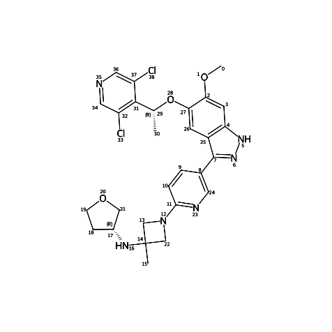 COc1cc2[nH]nc(-c3ccc(N4CC(C)(N[C@@H]5CCOC5)C4)nc3)c2cc1O[C@H](C)c1c(Cl)cncc1Cl